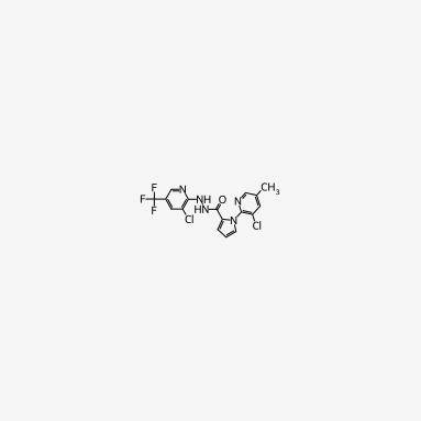 Cc1cnc(-n2cccc2C(=O)NNc2ncc(C(F)(F)F)cc2Cl)c(Cl)c1